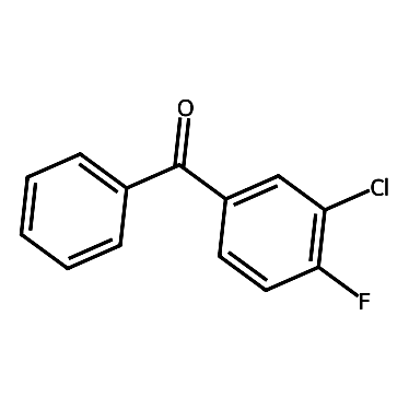 O=C(c1ccccc1)c1ccc(F)c(Cl)c1